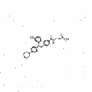 O=C(O)CCNC(=O)c1ccc(CN(c2ccc(C3CCCCC3)cc2)c2cccc(Cl)c2)cc1